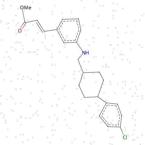 COC(=O)C=Cc1cccc(NCC2CCC(c3ccc(Cl)cc3)CC2)c1